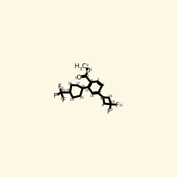 COC(=O)c1ccc(C2CC(F)(F)C2)cc1C1CCC(C(F)(F)F)CC1